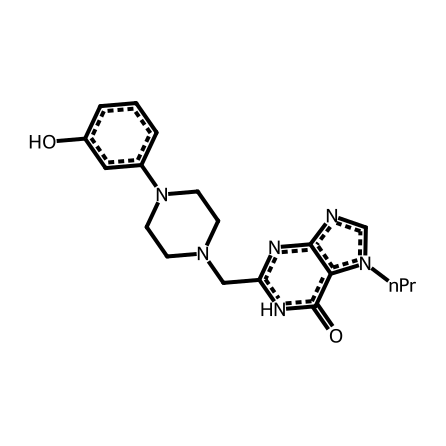 CCCn1cnc2nc(CN3CCN(c4cccc(O)c4)CC3)[nH]c(=O)c21